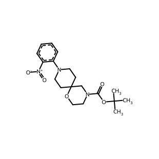 CC(C)(C)OC(=O)N1CCOC2(CCN(c3ccccc3[N+](=O)[O-])CC2)C1